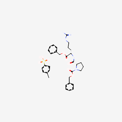 Cc1ccc(S(=O)(=O)O)cc1.N=C(N)NCCC[C@H](NC(=O)[C@@H]1CCCN1C(=O)OCc1ccccc1)C(=O)OCc1ccccc1